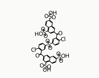 O=C(c1cc(S(=O)(=O)O)c2ccc(S(=O)(=O)O)cc2c1)c1cc(S(=O)(=O)c2ccc(Cl)c(C(=O)c3cc(S(=O)(=O)O)c4ccc(S(=O)(=O)O)cc4c3)c2)ccc1Cl